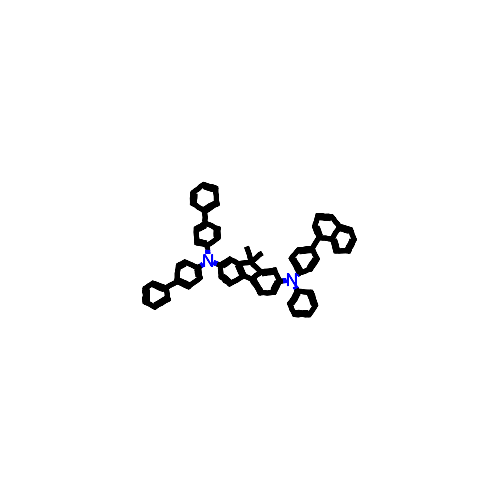 CC1(C)c2cc(N(c3ccc(-c4ccccc4)cc3)c3ccc(-c4ccccc4)cc3)ccc2-c2ccc(N(c3ccccc3)c3ccc(-c4cccc5ccccc45)cc3)cc21